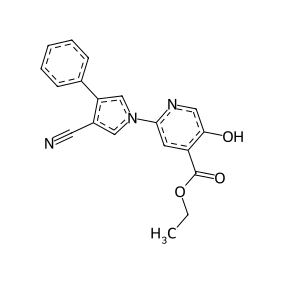 CCOC(=O)c1cc(-n2cc(C#N)c(-c3ccccc3)c2)ncc1O